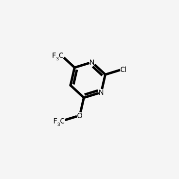 FC(F)(F)Oc1cc(C(F)(F)F)nc(Cl)n1